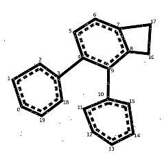 c1ccc(-c2ccc3c(c2-c2ccccc2)CC3)cc1